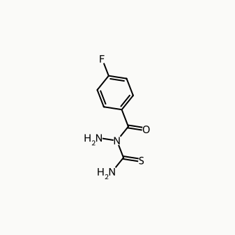 NC(=S)N(N)C(=O)c1ccc(F)cc1